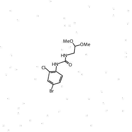 COC(CNC(=O)Nc1ccc(Br)cc1Cl)OC